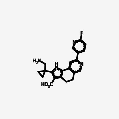 NCC1(c2[nH]c3c(c2C(=O)O)CCc2cnc(-c4ccc(F)nc4)cc2-3)CC1